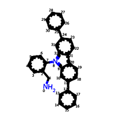 NCc1ccccc1-n1c2cc(-c3ccccc3)ccc2c2ccc(-c3ccccc3)cc21